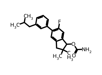 CC(C)Cc1cccc(-c2cc3c(cc2F)C(OC(N)=O)C(C)(C)C3)c1